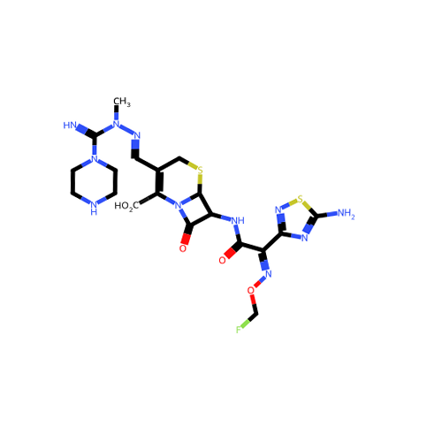 CN(/N=C/C1=C(C(=O)O)N2C(=O)C(NC(=O)/C(=N\OCF)c3nsc(N)n3)C2SC1)C(=N)N1CCNCC1